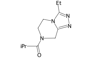 CCc1nnc2n1CCN(C(=O)C(C)C)C2